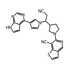 N#CCC(C1CCN(c2ncc3ccsc3c2C#N)C1)n1ccc(-c2ncnc3[nH]ccc23)c1